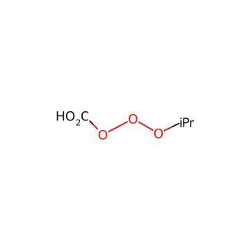 CC(C)OOOC(=O)O